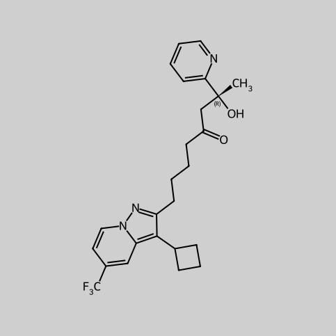 C[C@@](O)(CC(=O)CCCCc1nn2ccc(C(F)(F)F)cc2c1C1CCC1)c1ccccn1